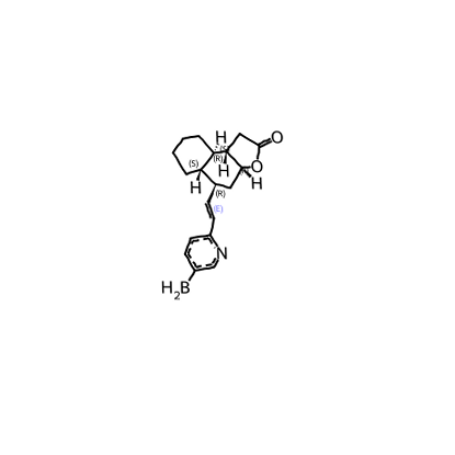 Bc1ccc(/C=C/[C@@H]2C[C@H]3OC(=O)C[C@H]3[C@@H]3CCCC[C@H]32)nc1